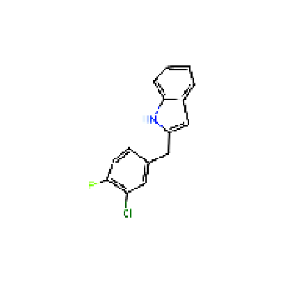 Fc1ccc(Cc2cc3ccccc3[nH]2)cc1Cl